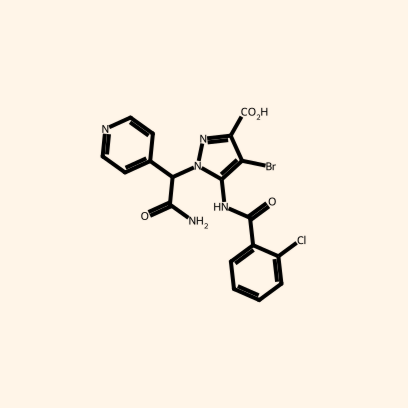 NC(=O)C(c1ccncc1)n1nc(C(=O)O)c(Br)c1NC(=O)c1ccccc1Cl